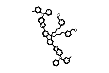 Cc1cccc(N(c2ccccc2)c2ccc3sc(-c4ccc5c(c4)C(CCCCc4cccc(C=O)c4)(CCCCc4cccc(C=O)c4)c4cc(-c6cc7cc(N(c8ccccc8)c8cccc(C)c8)ccc7s6)ccc4-5)cc3c2)c1